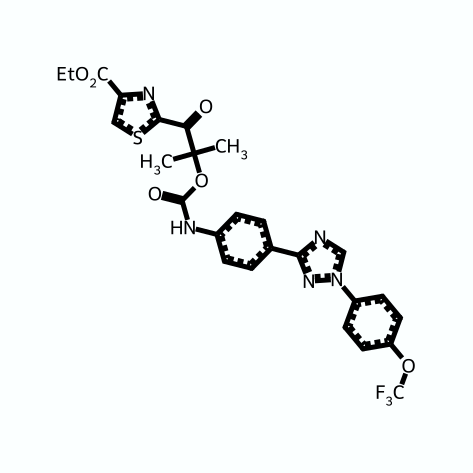 CCOC(=O)c1csc(C(=O)C(C)(C)OC(=O)Nc2ccc(-c3ncn(-c4ccc(OC(F)(F)F)cc4)n3)cc2)n1